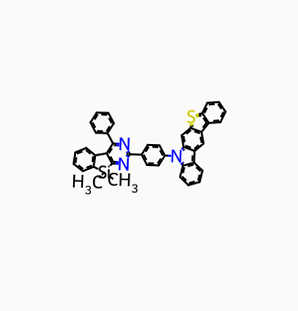 C[Si]1(C)c2ccccc2-c2c(-c3ccccc3)nc(-c3ccc(-n4c5ccccc5c5cc6c(cc54)sc4ccccc46)cc3)nc21